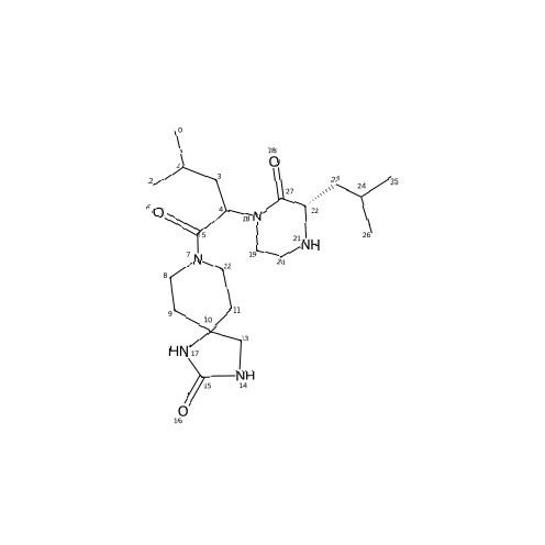 CC(C)CC(C(=O)N1CCC2(CC1)CNC(=O)N2)N1CCN[C@@H](CC(C)C)C1=O